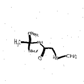 CCCCCCCC(C)(CCCC)NC(=O)CNC=O